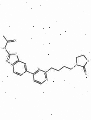 CC(=O)Nc1nc2ccc(-c3ccnc(CCCCN4CCOC4=O)n3)cc2s1